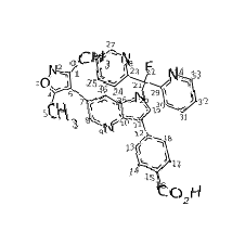 Cc1noc(C)c1-c1cnc2c(-c3ccc(C(=O)O)cc3)cn(C(F)(c3ccccn3)c3ccccn3)c2c1